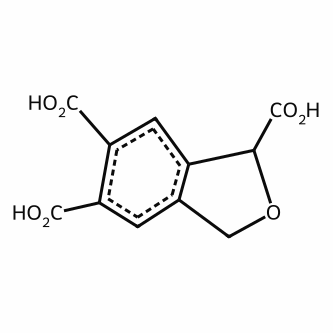 O=C(O)c1cc2c(cc1C(=O)O)C(C(=O)O)OC2